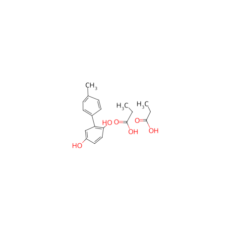 CCC(=O)O.CCC(=O)O.Cc1ccc(-c2cc(O)ccc2O)cc1